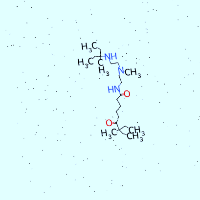 CCC(C)(CC)NCCN(C)CCNC(=O)CCCCC(=O)C(C)(CC)CC